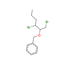 CCCC(Br)C(CBr)OCc1ccccc1